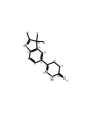 CC1=Nc2ccc(C3=NNC(=O)CC3)cc2C1(C)C